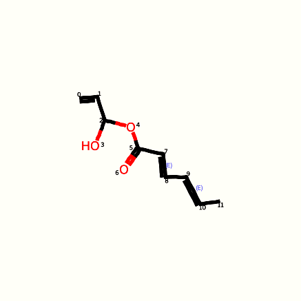 C=CC(O)OC(=O)/C=C/C=C/C